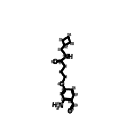 Nc1cc(OCCCC(=O)NCC2CCC2)ccc1C=O